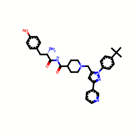 CC(C)(C)c1ccc(-n2nc(-c3cccnc3)cc2CN2CCC(C(=O)NC(=O)[C@@H](N)Cc3ccc(O)cc3)CC2)cc1